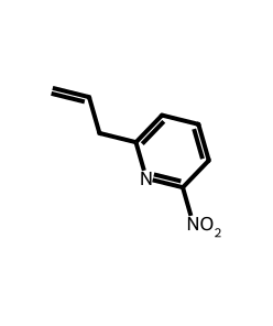 C=CCc1cccc([N+](=O)[O-])n1